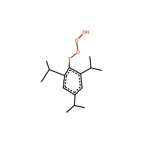 CC(C)c1cc(C(C)C)c(SOOO)c(C(C)C)c1